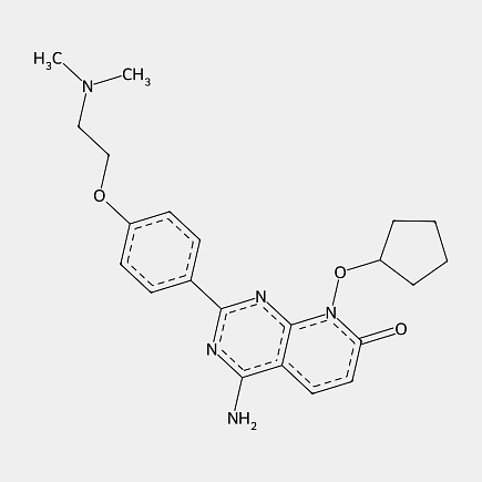 CN(C)CCOc1ccc(-c2nc(N)c3ccc(=O)n(OC4CCCC4)c3n2)cc1